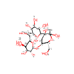 [2H]C1(O)O[C@H](CO)[C@@H](O[C@@H]2O[C@H](CO)[C@H](O)[C@H](O)[C@H]2O)[C@H](O)[C@]1(O)C1O[C@@H](C)[C@@H](O)[C@@H](O)[C@@H]1O